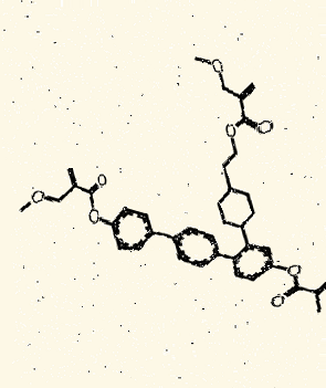 C=C(C)C(=O)Oc1ccc(-c2ccc(-c3ccc(OC(=O)C(=C)COC)cc3)cc2)c(C2CCC(CCOC(=O)C(=C)COC)CC2)c1